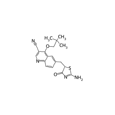 CC(C)(C)COc1c(C#N)cnc2ccc(CC3SC(N)=NC3=O)cc12